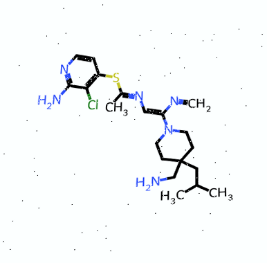 C=N/C(=C\N=C(/C)Sc1ccnc(N)c1Cl)N1CCC(CN)(CC(C)C)CC1